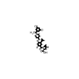 C[C@@H](c1cc(Cl)cc(Cl)c1)N1CCC(COc2cc(F)c(C(=O)N3C4C[C@@H]4C[C@H]3C(=O)O)cc2C2CC2)CC1